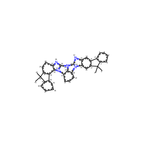 CC1(C)c2ccccc2-c2cc3nc4n(c3cc21)c1cccc2c1n4c1nc3ccc4c(c3n21)-c1ccccc1C4(C)C